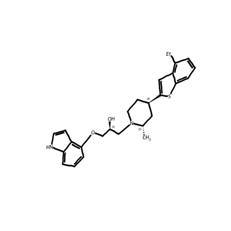 CCc1cccc2sc([C@@H]3CCN(C[C@H](O)COc4cccc5[nH]ccc45)[C@@H](C)C3)cc12